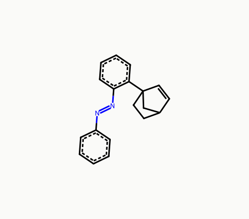 C1=CC2(c3ccccc3N=Nc3ccccc3)CCC1C2